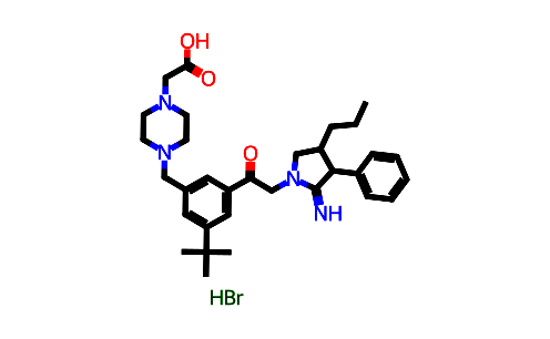 Br.CCCC1CN(CC(=O)c2cc(CN3CCN(CC(=O)O)CC3)cc(C(C)(C)C)c2)C(=N)C1c1ccccc1